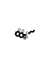 CCCCOc1noc2c1C(=O)C1C(=O)C=CCC1C2